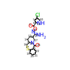 N/C(=N\OC(=O)c1cc(Cl)c[nH]1)C1CCC2CSc3ccccc3C(=O)N2C1